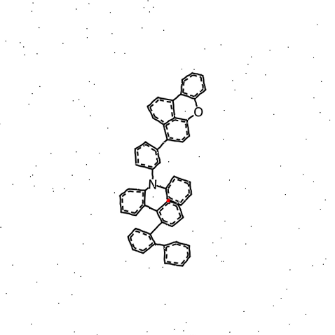 c1ccc(-c2ccccc2-c2ccccc2-c2ccccc2N(c2ccccc2)c2cccc(-c3ccc4c5c(cccc35)-c3ccccc3O4)c2)cc1